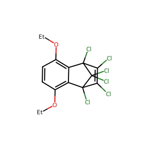 CCOc1ccc(OCC)c2c1C1(Cl)C(Cl)=C(Cl)C2(Cl)C1(Cl)Cl